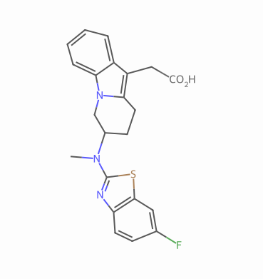 CN(c1nc2ccc(F)cc2s1)C1CCc2c(CC(=O)O)c3ccccc3n2C1